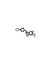 COc1cc2ncn(Cc3ccc(Cl)cc3)c2cc1C